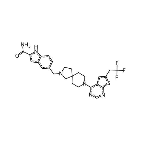 NC(=O)c1cc2cc(CN3CCC4(CCN(c5ncnc6sc(CC(F)(F)F)cc56)CC4)C3)ccc2[nH]1